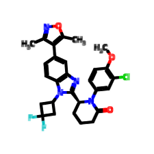 COc1ccc(N2C(=O)CCC[C@H]2c2nc3cc(-c4c(C)noc4C)ccc3n2C2CC(F)(F)C2)cc1Cl